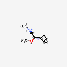 C[N+]#C/C(OC)=C1\CC2CC12